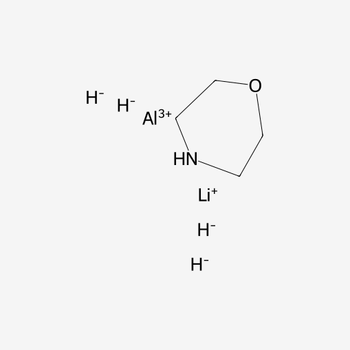 C1COCCN1.[Al+3].[H-].[H-].[H-].[H-].[Li+]